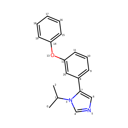 CC(C)n1cncc1-c1cccc(Oc2ccccc2)c1